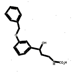 O=C(O)NCCC(O)c1cccc(OCc2ccccc2)c1